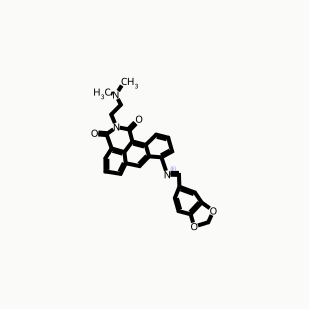 CN(C)CCN1C(=O)c2cccc3cc4c(/N=C/c5ccc6c(c5)OCO6)cccc4c(c23)C1=O